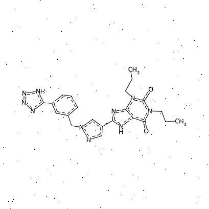 CCCn1c(=O)c2[nH]c(-c3cnn(Cc4cccc(-c5nnn[nH]5)c4)c3)nc2n(CCC)c1=O